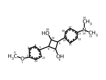 COc1ccc(C2C(O)C(c3ccc(N(C)C)cc3)C2O)cc1